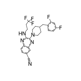 N#Cc1ccc2nc(NCCC(F)(F)F)c(N3CCC(Cc4ccc(F)cc4F)CC3)nc2c1